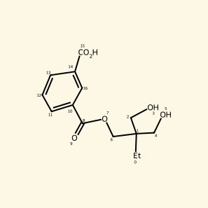 CCC(CO)(CO)COC(=O)c1cccc(C(=O)O)c1